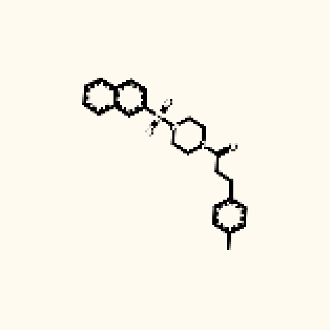 Cc1ccc(CCC(=O)N2CCN(S(=O)(=O)c3ccc4ccccc4c3)CC2)cc1